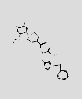 CO[N+](=O)c1cc(F)c(Br)cc1N1CCC(C(=O)N[C@@H](Cc2cn(Cc3ccccc3)cn2)C(=O)O)CC1